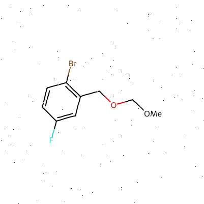 COCOCc1cc(F)ccc1Br